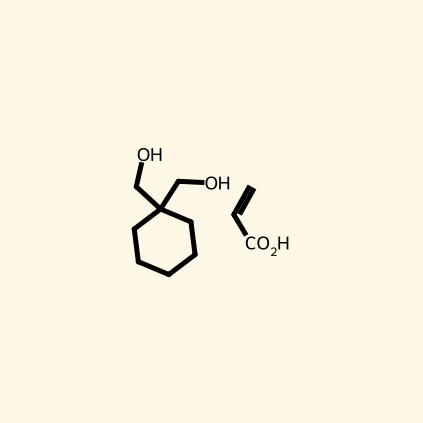 C=CC(=O)O.OCC1(CO)CCCCC1